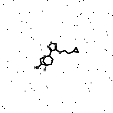 O[C@H]1CN2C[C@H]1CCC2c1nsnc1OCCC1CC1